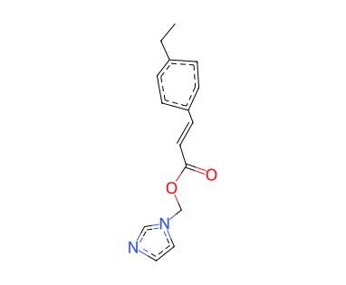 CCc1ccc(C=CC(=O)OCn2ccnc2)cc1